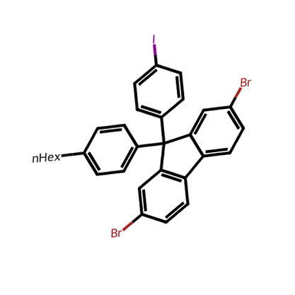 CCCCCCc1ccc(C2(c3ccc(I)cc3)c3cc(Br)ccc3-c3ccc(Br)cc32)cc1